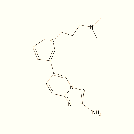 CN(C)CCCN1C=C(c2ccc3nc(N)nn3c2)C=CC1